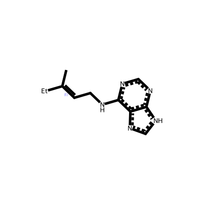 CC/C(C)=C/CNc1ncnc2[nH]cnc12